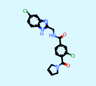 O=C(NCc1nc2cc(Cl)ccc2[nH]1)c1ccc(C(=O)N2CC=CC2)c(Cl)c1